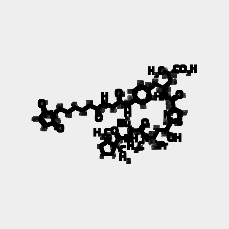 CCC(C)[C@H](NC(=O)[C@@]1(C)CCCN1C)C(=O)N(C)[C@H](C[C@@H](O)c1nc(C(=O)N[C@@H](Cc2ccc(NC(=O)CNC(=O)CCCCCN3C(=O)C=CC3=O)cc2)C[C@H](C)C(=O)O)cs1)C(C)C